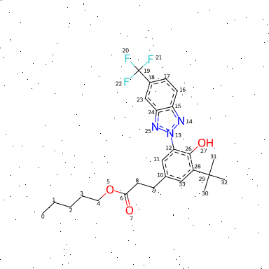 CCCCCOC(=O)CCc1cc(-n2nc3ccc(C(F)(F)F)cc3n2)c(O)c(C(C)(C)C)c1